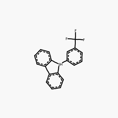 FC(F)(F)c1cccc([SH]2c3ccccc3-c3ccccc32)c1